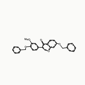 COc1cc(-c2coc3cc(OCc4ccccc4)ccc3c2=O)ccc1OCc1ccccc1